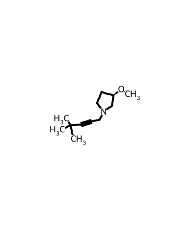 CO[C@@H]1CCN(CC#CC(C)(C)C)C1